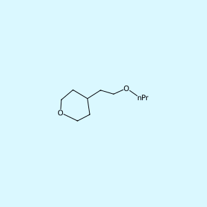 CCCOCCC1CCOCC1